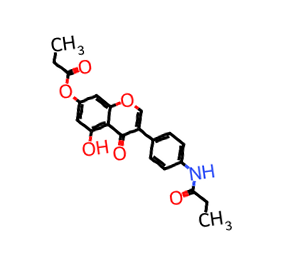 CCC(=O)Nc1ccc(-c2coc3cc(OC(=O)CC)cc(O)c3c2=O)cc1